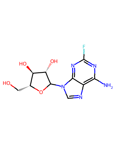 Nc1nc(F)nc2c1ncn2C1O[C@H](CO)[C@@H](O)[C@@H]1O